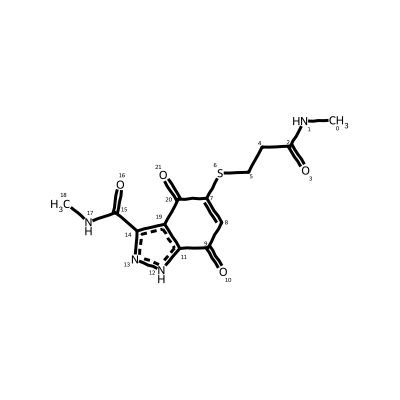 CNC(=O)CCSC1=CC(=O)c2[nH]nc(C(=O)NC)c2C1=O